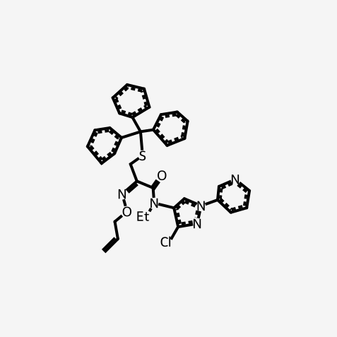 C=CCO/N=C(/CSC(c1ccccc1)(c1ccccc1)c1ccccc1)C(=O)N(CC)c1cn(-c2cccnc2)nc1Cl